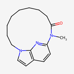 CN1C(=O)CCCCCCCCn2ccc3ccc1nc32